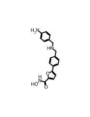 Nc1ccc(CNCc2ccc(-c3ccc(C(=O)NO)o3)cc2)cc1